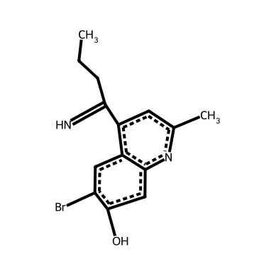 CCCC(=N)c1cc(C)nc2cc(O)c(Br)cc12